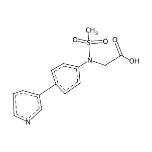 CS(=O)(=O)N(CC(=O)O)c1ccc(-c2cccnc2)cc1